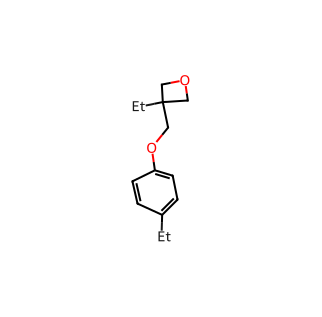 CCc1ccc(OCC2(CC)COC2)cc1